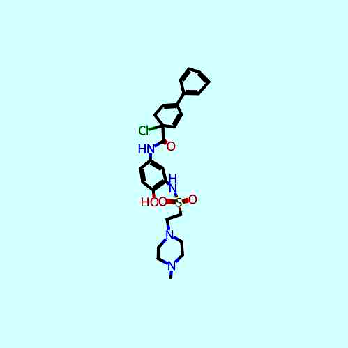 CN1CCN(CCS(=O)(=O)Nc2cc(NC(=O)C3(Cl)C=CC(c4ccccc4)=CC3)ccc2O)CC1